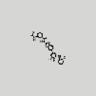 CC(=O)Nc1cccc(C(=O)Nc2nc3cc(-c4cc(=O)[nH]c(Nc5ccccc5Cl)n4)ccc3[nH]2)c1